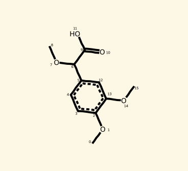 COc1ccc(C(OC)C(=O)O)cc1OC